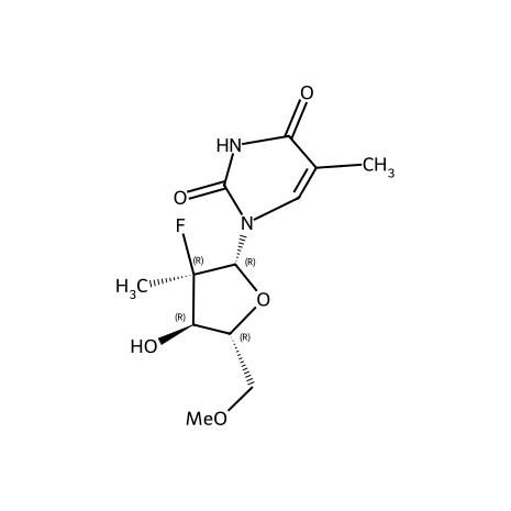 COC[C@H]1O[C@@H](n2cc(C)c(=O)[nH]c2=O)[C@](C)(F)[C@@H]1O